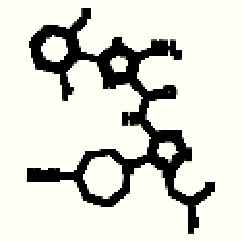 CNC1CCCN(c2c(NC(=O)c3nc(-c4c(F)cccc4F)sc3N)cnn2CC(F)F)CC1